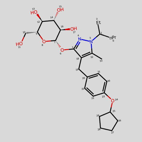 CCCC(CC)n1nc(O[C@@H]2O[C@H](CO)[C@@H](O)[C@H](O)[C@H]2O)c(Cc2ccc(OC3CCCC3)cc2)c1C